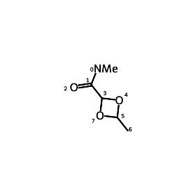 CNC(=O)C1OC(C)O1